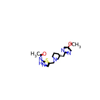 COc1cnc(C[C@@H]2CCCN(Cc3cnc(NC(C)=O)s3)C2)nc1